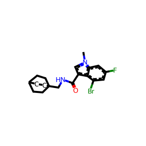 Cn1cc(C(=O)NCC23CCC(CC2)CC3)c2c(Br)cc(F)cc21